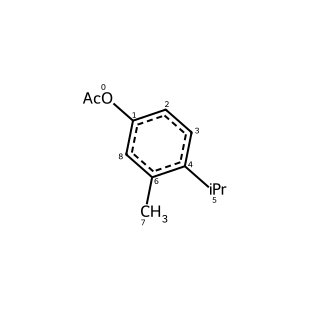 CC(=O)Oc1ccc(C(C)C)c(C)c1